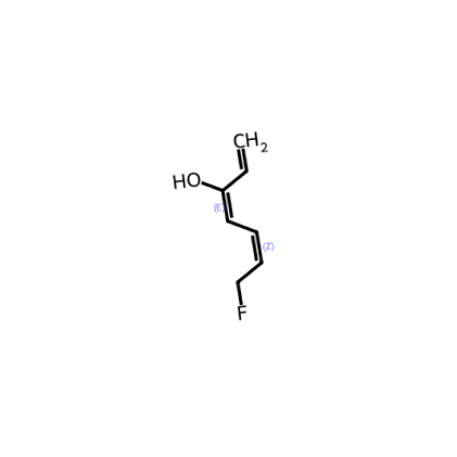 C=C/C(O)=C\C=C/CF